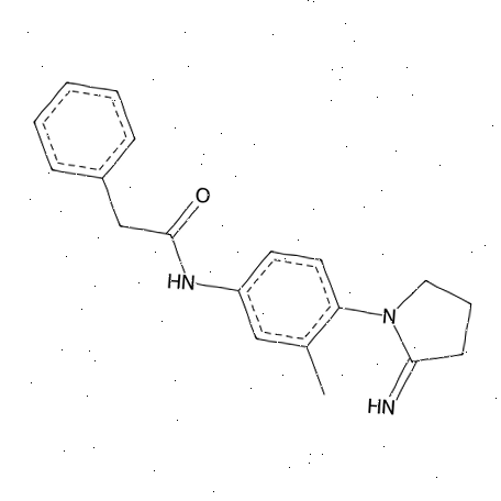 Cc1cc(NC(=O)Cc2ccccc2)ccc1N1CCCC1=N